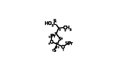 CC(C)OP(=S)(OC(C)C)SCC(C)C(=O)O